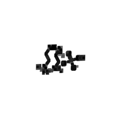 NCCN.NCCN.O=P([O-])([O-])O.[Pt+2]